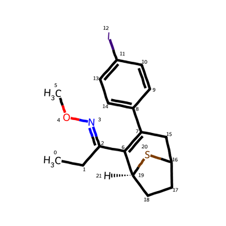 CCC(=NOC)C1=C(c2ccc(I)cc2)CC2CC[C@@H]1S2